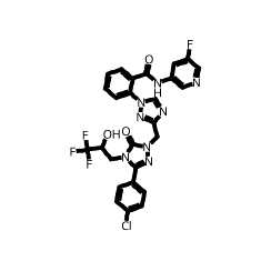 O=C(Nc1cncc(F)c1)c1ccccc1-n1cnc(Cn2nc(-c3ccc(Cl)cc3)n(CC(O)C(F)(F)F)c2=O)n1